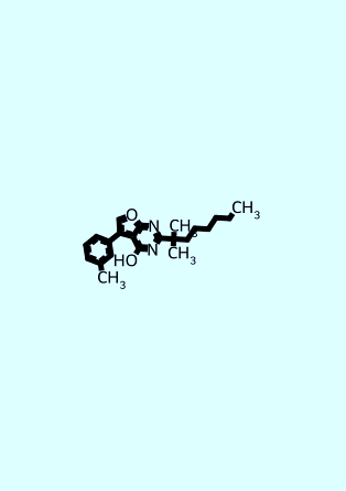 CCCCCCC(C)(C)c1nc(O)c2c(-c3cccc(C)c3)coc2n1